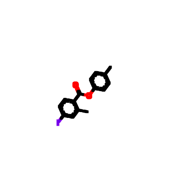 Cc1ccc(OC(=O)c2ccc(I)cc2C)cc1